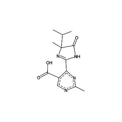 Cc1ncc(C(=O)O)c(C2=NC(C)(C(C)C)C(=O)N2)n1